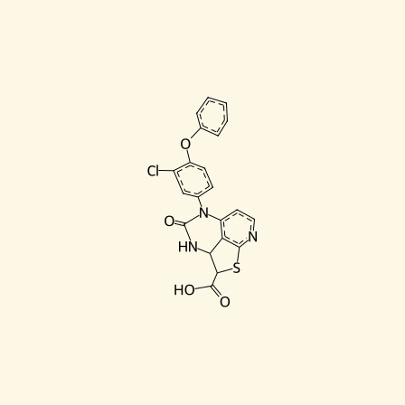 O=C(O)C1Sc2nccc3c2C1NC(=O)N3c1ccc(Oc2ccccc2)c(Cl)c1